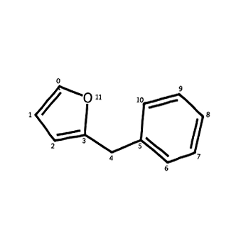 [c]1ccc(Cc2ccccc2)o1